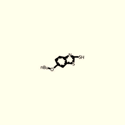 CCCCOc1ccc2nc(S)sc2c1